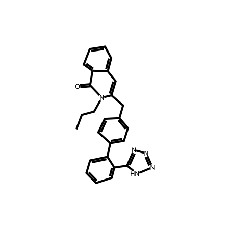 CCCn1c(Cc2ccc(-c3ccccc3-c3nnn[nH]3)cc2)cc2ccccc2c1=O